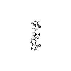 NC(=O)c1cccc(S(=O)(=O)NCCCN2CCCC2=O)c1